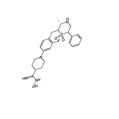 C[C@@H]1NCC(c2ccccc2)S(=O)(=O)C1Cc1ccc(N2CCC(C(=N)NO)CC2)cc1F